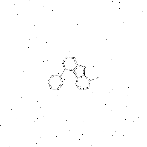 Clc1cccc2c1oc1cccc(-c3ccccc3)c12